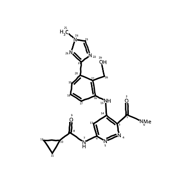 CNC(=O)c1nnc(NC(=O)C2CC2)cc1Nc1cccc(-c2ncn(C)n2)c1CO